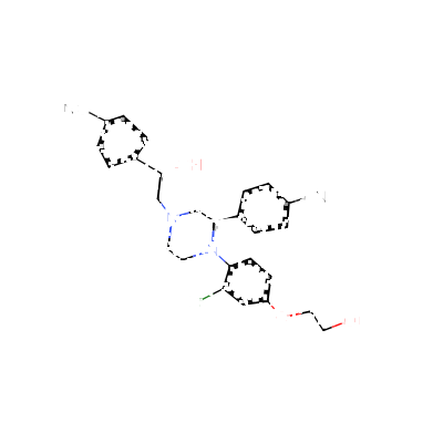 N#Cc1ccc([C@H](O)CN2CCN(c3ccc(OCCO)cc3Cl)[C@H](c3ccc(C#N)cc3)C2)cc1